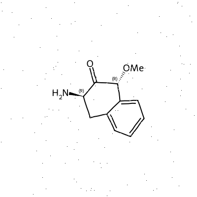 CO[C@H]1C(=O)[C@H](N)Cc2ccccc21